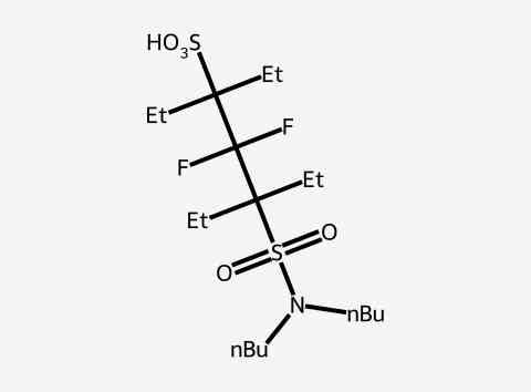 CCCCN(CCCC)S(=O)(=O)C(CC)(CC)C(F)(F)C(CC)(CC)S(=O)(=O)O